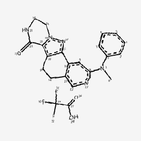 CN(c1ccccc1)c1cc2c(cn1)CCc1c-2nn2c1C(=O)NCC2.O=C(O)C(F)(F)F